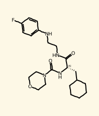 O=C(NCCNc1ccc(F)cc1)[C@H](CC1CCCCC1)NC(=O)N1CCOCC1